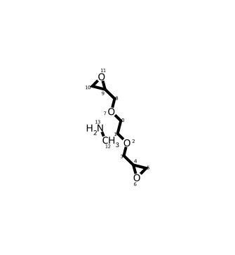 C(COCC1CO1)OCC1CO1.CN